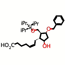 CC(C)[Si](OC[C@@H]1[C@@H](C/C=C\CCCC(=O)O)[C@H](O)C[C@H]1OCc1ccccc1)(C(C)C)C(C)C